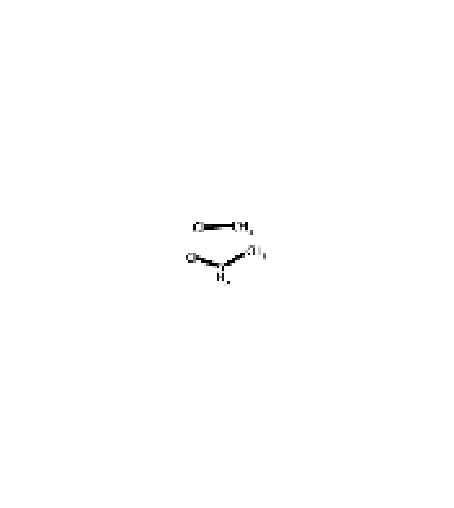 CCl.C[SiH2]Cl